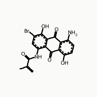 C=C(C)C(=O)Nc1cc(Br)c(O)c2c1C(=O)c1c(O)ccc(N)c1C2=O